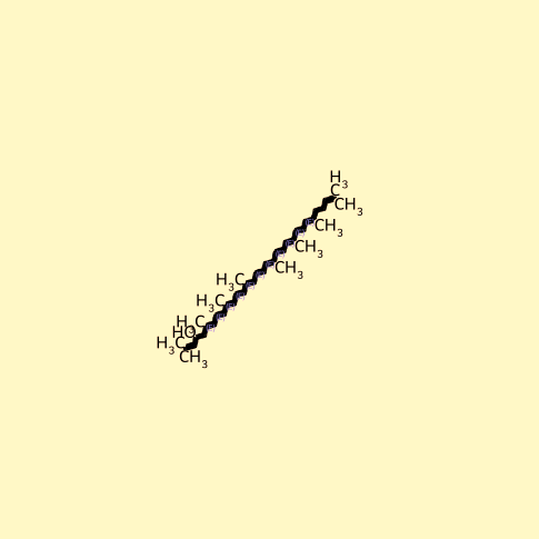 CC(C)=CCC/C(C)=C/C=C/C(C)=C/C=C/C(C)=C/C=C/C=C(C)/C=C/C=C(C)/C=C/C=C(\C)CC(O)C=C(C)C